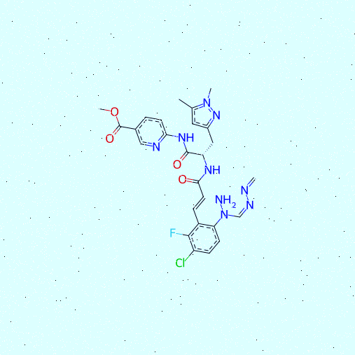 C=N/N=C\N(N)c1ccc(Cl)c(F)c1/C=C/C(=O)N[C@@H](Cc1cc(C)n(C)n1)C(=O)Nc1ccc(C(=O)OC)cn1